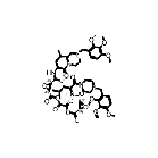 COc1ccc(CN2CCN(C(=O)C(CC(C)C)NC(=O)[C@@H]3O[C@H]3C(=O)OC(=O)C(=O)OC(=O)[C@@H]3O[C@H]3C(=O)NC(CC(C)C)C(=O)N3CCN(Cc4ccc(OC)c(OC)c4OC)CC3)CC2)c(OC)c1OC